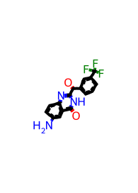 Nc1ccc2nc(C(=O)c3cccc(C(F)(F)F)c3)[nH]c(=O)c2c1